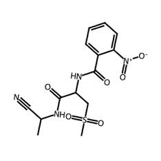 CC(C#N)NC(=O)C(CS(C)(=O)=O)NC(=O)c1ccccc1[N+](=O)[O-]